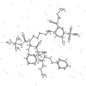 CCOC(=O)c1cc(S(N)(=O)=O)c(Cl)cc1NCCCCC(C(=O)OC(C)(C)C)N(Cc1ccccc1)C(=O)C(C)NC(CCc1ccccc1)C(=O)OCC